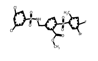 COC(=O)c1cc(CNS(=O)(=O)c2cc(Cl)cc(Cl)c2)ccc1S(=O)(=O)c1cc(Br)c(F)cc1C